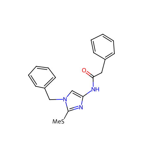 CSc1nc(NC(=O)Cc2ccccc2)cn1Cc1ccccc1